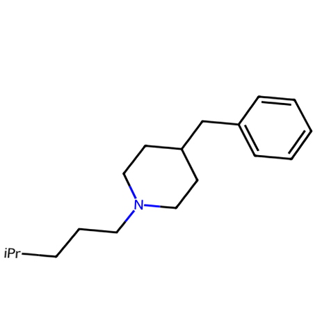 CC(C)CCCN1CCC(Cc2ccccc2)CC1